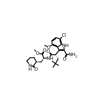 COC(=O)[C@H](C[C@@H]1CCCNC1=O)NC(=O)[C@@H](CC(C)(C)C)c1c(C(N)=O)[nH]c2c(Cl)ccc(OC)c12